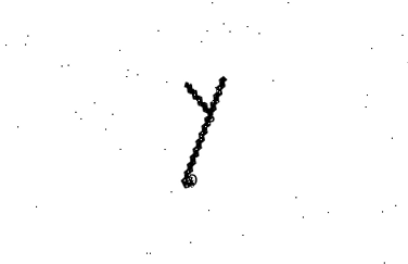 CCCCCCCCCC(CCCCCCCCC)SCCCCCCCCCCCCCCCC1CCCO1